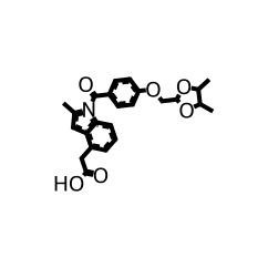 Cc1cc2c(CC(=O)O)cccc2n1C(=O)c1ccc(OCC2OC(C)C(C)O2)cc1